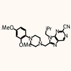 COc1ccc(N2CCN(Cc3nc4cnc(C#N)nc4n3CC(C)C)CC2)c(OC)c1